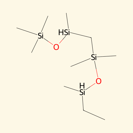 CC[SiH](C)O[Si](C)(C)C[SiH](C)O[Si](C)(C)C